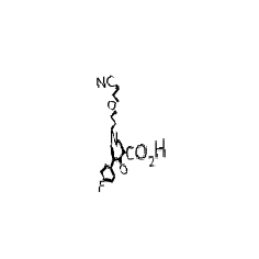 N#CCCCOCCCCn1cc(C(=O)O)c(=O)c(-c2ccc(F)cc2)c1